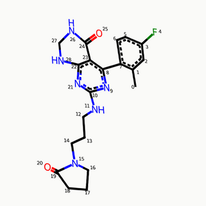 Cc1cc(F)ccc1-c1nc(NCCCN2CCCC2=O)nc2c1C(=O)NCN2